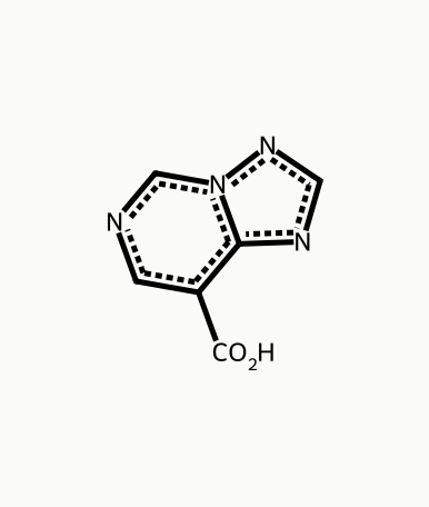 O=C(O)c1cncn2ncnc12